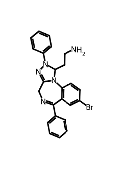 NCCC1N(c2ccccc2)N=C2CN=C(c3ccccc3)c3cc(Br)ccc3N21